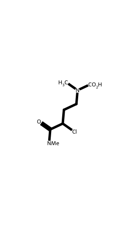 CNC(=O)C(Cl)CCN(C)C(=O)O